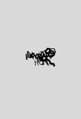 CCCCc1nc(O)c(S(=O)(=O)c2ccc(-c3ccnc(F)c3C)cc2)c(O)c1N1CCCOc2ccccc21